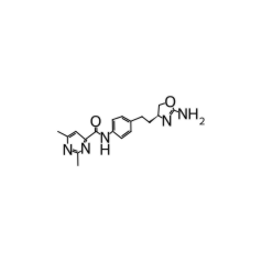 Cc1cc(C(=O)Nc2ccc(CC[C@H]3COC(N)=N3)cc2)nc(C)n1